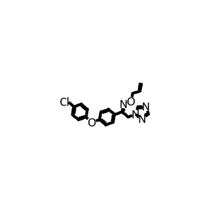 C=CCON=C(Cn1cncn1)c1ccc(Oc2ccc(Cl)cc2)cc1